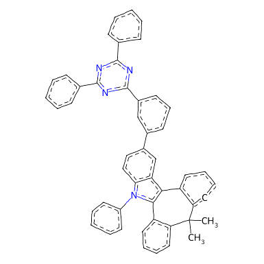 CC1(C)c2ccccc2-c2c(n(-c3ccccc3)c3ccc(-c4cccc(-c5nc(-c6ccccc6)nc(-c6ccccc6)n5)c4)cc23)-c2ccccc21